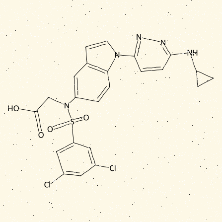 O=C(O)CN(c1ccc2c(ccn2-c2ccc(NC3CC3)nn2)c1)S(=O)(=O)c1cc(Cl)cc(Cl)c1